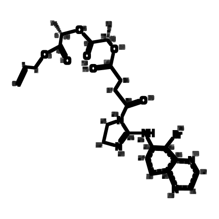 C=CCOC(=O)[C@H](C)OC(=O)[C@H](C)OC(=O)CCC(=O)N1CCN=C1Nc1ccc2nccnc2c1Br